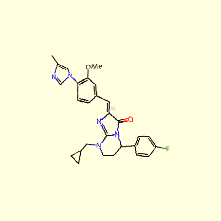 COc1cc(/C=C2\N=C3N(CC4CC4)CCC(c4ccc(F)cc4)N3C2=O)ccc1-n1cnc(C)c1